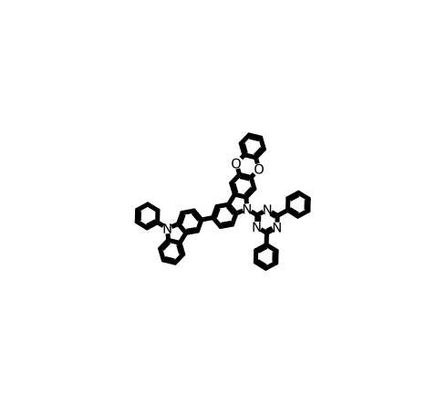 C1=CCCC(n2c3ccccc3c3cc(-c4ccc5c(c4)c4cc6c(cc4n5-c4nc(-c5ccccc5)nc(-c5ccccc5)n4)Oc4ccccc4O6)ccc32)=C1